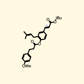 COc1ccc(CCC(=O)Oc2ccc(/C=C/C(=O)OC(C)(C)C)cc2CC=C(C)C)cc1